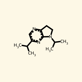 CC(C)c1cnc2c(n1)N(C(C)C)CC2